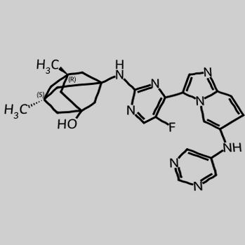 C[C@]12CC3(O)CC(Nc4ncc(F)c(-c5cnc6ccc(Nc7cncnc7)cn56)n4)(C1)C[C@@](C)(C3)C2